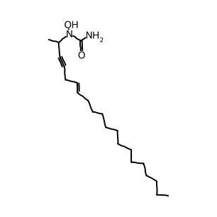 CCCCCCCCCCCCCC=CCC#CC(C)N(O)C(N)=O